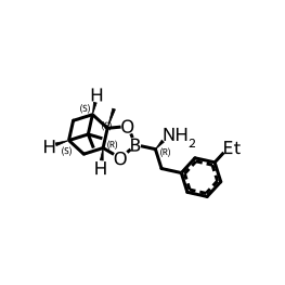 CCc1cccc(C[C@H](N)B2O[C@@H]3C[C@@H]4C[C@@H](C4(C)C)[C@]3(C)O2)c1